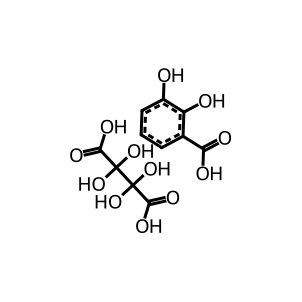 O=C(O)C(O)(O)C(O)(O)C(=O)O.O=C(O)c1cccc(O)c1O